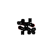 N#Cc1cc2c(c3c1C1c4ccccc4C3c3ccccc31)c1c3c4cc5c(cc4n4c6cc(C#N)c7c(c6c(c6c8cc9c(cc8n2c61)C(=O)C1c2ccccc2C9c2ccccc21)c34)C1c2ccccc2C7c2ccccc21)C(=O)C1c2ccccc2C12c1ccccc1C52